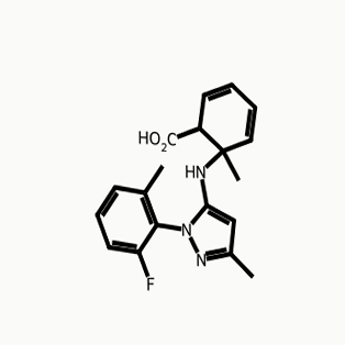 Cc1cc(NC2(C)C=CC=CC2C(=O)O)n(-c2c(C)cccc2F)n1